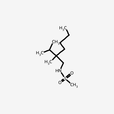 CCCCC(C)(CNS(C)(=O)=O)C(C)C